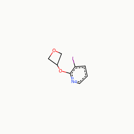 Ic1cccnc1OC1COC1